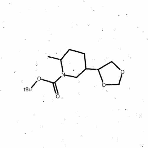 CC1CCC(C2COCO2)CN1C(=O)OC(C)(C)C